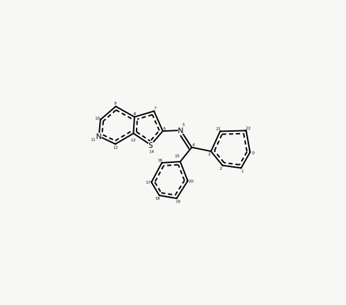 c1ccc(C(=Nc2cc3ccncc3s2)c2ccccc2)cc1